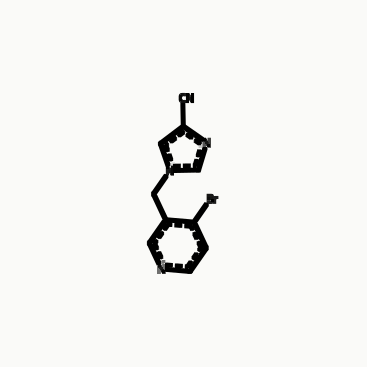 N#Cc1cn(Cc2cnccc2Br)cn1